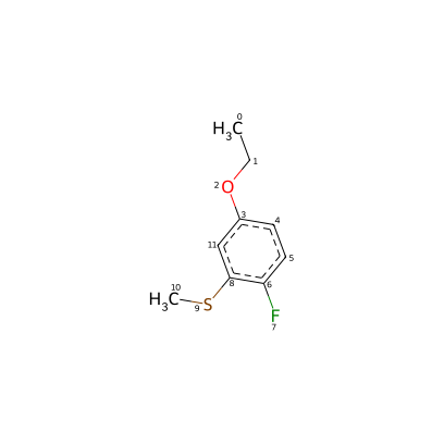 CCOc1ccc(F)c(SC)c1